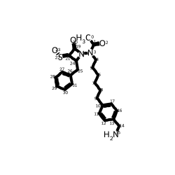 CC(=O)N(CCCCCCc1ccc(CN)cc1)N1C(=O)C(=S=O)C1Cc1ccccc1